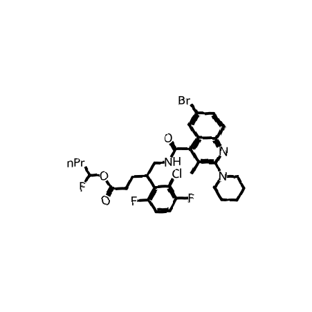 CCCC(F)OC(=O)CCC(CNC(=O)c1c(C)c(N2CCCCC2)nc2ccc(Br)cc12)c1c(F)ccc(F)c1Cl